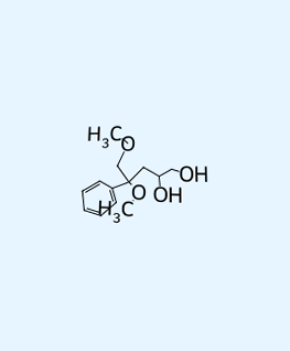 COCC(CC(O)CO)(OC)c1ccccc1